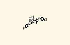 CC1CN(Cc2ccc(Cl)cc2)CC1C1=NC2=CN(c3ccc(F)cc3)CN2C(=O)N1